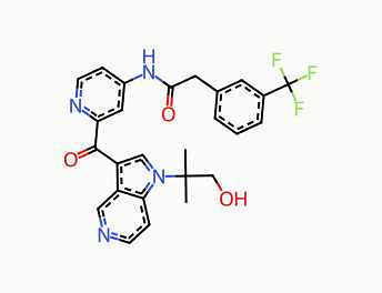 CC(C)(CO)n1cc(C(=O)c2cc(NC(=O)Cc3cccc(C(F)(F)F)c3)ccn2)c2cnccc21